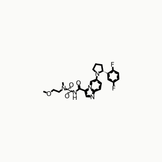 COCCN(C)S(=O)(=O)NC(=O)c1cnc2ccc(N3CCC[C@@H]3c3cc(F)ccc3F)cn12